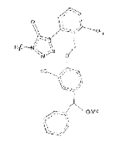 COC(c1ccccc1)c1ccc(OCc2c(C)cccc2-n2nnn(C)c2=O)c(C)c1